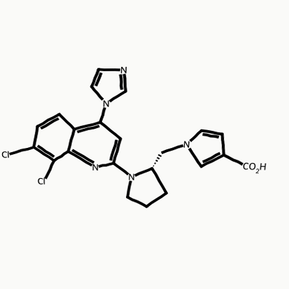 O=C(O)c1ccn(C[C@@H]2CCCN2c2cc(-n3ccnc3)c3ccc(Cl)c(Cl)c3n2)c1